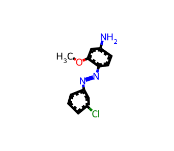 COc1cc(N)ccc1N=Nc1cccc(Cl)c1